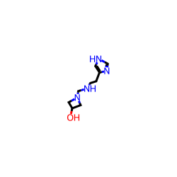 OC1CN(CNCCc2c[nH]cn2)C1